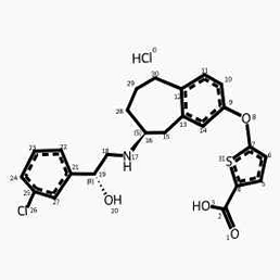 Cl.O=C(O)c1ccc(Oc2ccc3c(c2)C[C@@H](NC[C@H](O)c2cccc(Cl)c2)CCC3)s1